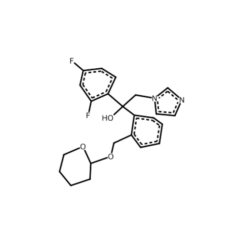 OC(Cn1ccnc1)(c1ccc(F)cc1F)c1ccccc1COC1CCCCO1